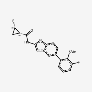 CSc1c(F)cccc1-c1ccc2nc(NC(=O)[C@@H]3C[C@@H]3F)cn2c1